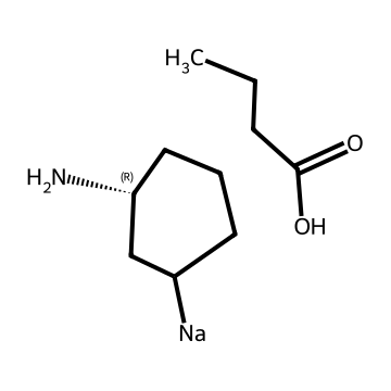 CCCC(=O)O.N[C@@H]1CCC[CH]([Na])C1